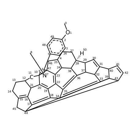 COc1ccc(C2N(C)CC34CC5CCC6=C7C8=C9C(=C3C75)C3=C5C7C(CC[C@H]%10C%11C=C%12C%13C(=C9C3=C(C%13%11)C7%10)C37C%12C=CC3C87C6)CC524)cc1